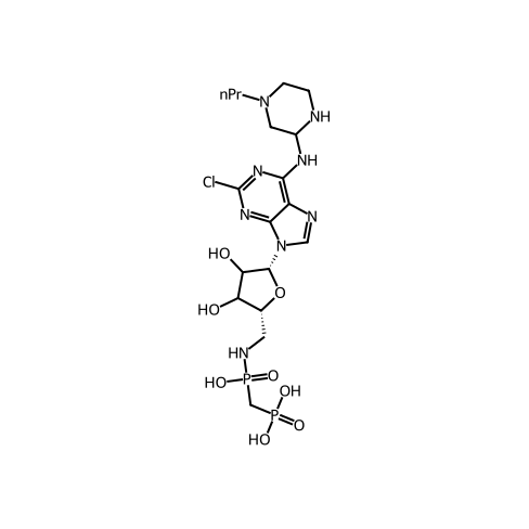 CCCN1CCNC(Nc2nc(Cl)nc3c2ncn3[C@@H]2O[C@H](CNP(=O)(O)CP(=O)(O)O)C(O)C2O)C1